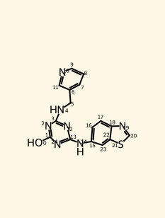 Oc1nc(NCc2cccnc2)nc(Nc2ccc3ncsc3c2)n1